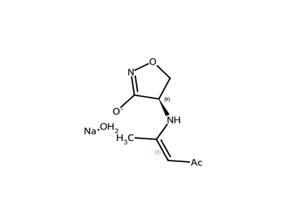 CC(=O)/C=C(/C)N[C@@H]1CON=C1[O-].O.[Na+]